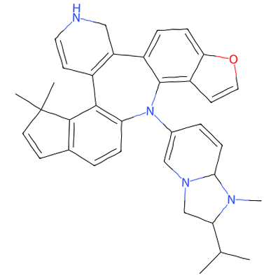 CC(C)C1CN2C=C(N3c4ccc5c(c4C4=C(CNC=C4)c4ccc6occc6c43)C(C)(C)C=C5)C=CC2N1C